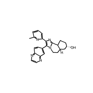 Cc1cccc(-c2nc3n(c2-c2ccc4nccnc4c2)CC[C@H]2C[C@@H](O)CCC32)n1